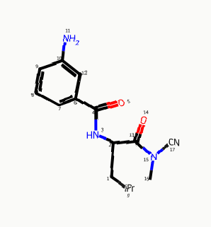 CC(C)CC(NC(=O)c1cccc(N)c1)C(=O)N(C)C#N